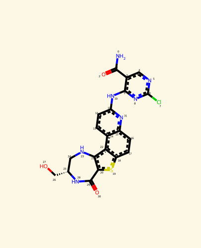 NC(=O)c1cnc(Cl)nc1Nc1ccc2c(ccc3sc4c(c32)NC[C@@H](CO)NC4=O)n1